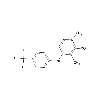 Cc1c(Nc2ccc(C(F)(F)F)cc2)ccn(C)c1=O